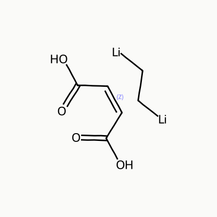 O=C(O)/C=C\C(=O)O.[Li][CH2][CH2][Li]